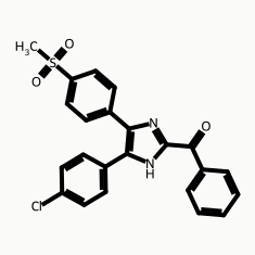 CS(=O)(=O)c1ccc(-c2nc(C(=O)c3ccccc3)[nH]c2-c2ccc(Cl)cc2)cc1